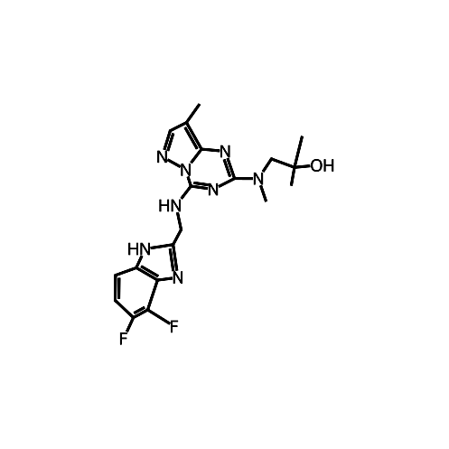 Cc1cnn2c(NCc3nc4c(F)c(F)ccc4[nH]3)nc(N(C)CC(C)(C)O)nc12